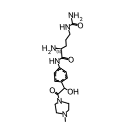 CN1CCN(C(=O)C(O)c2ccc(NC(=O)[C@@H](N)CCCNC(N)=O)cc2)CC1